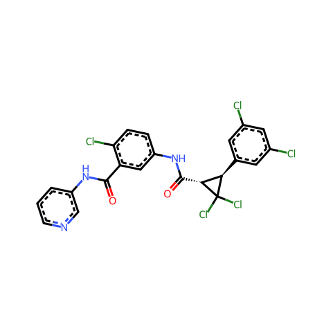 O=C(Nc1cccnc1)c1cc(NC(=O)[C@@H]2[C@@H](c3cc(Cl)cc(Cl)c3)C2(Cl)Cl)ccc1Cl